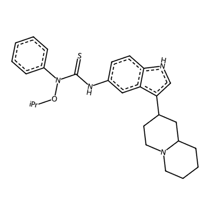 CC(C)ON(C(=S)Nc1ccc2[nH]cc(C3CCN4CCCCC4C3)c2c1)c1ccccc1